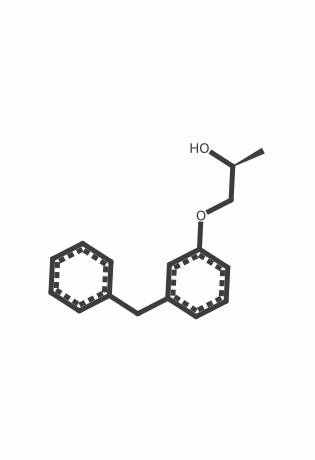 C[C@H](O)COc1cccc(Cc2ccccc2)c1